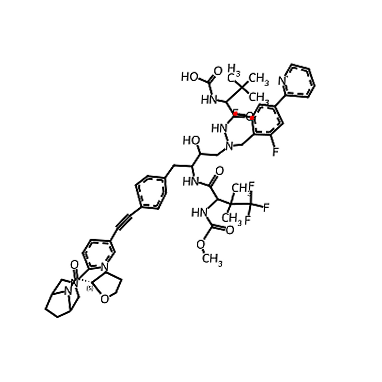 COC(=O)NC(C(=O)NC(Cc1ccc(C#Cc2ccc(N3CC4CCC(C3)N4C(=O)[C@@H]3CCCO3)nc2)cc1)C(O)CN(Cc1c(F)cc(-c2ccccn2)cc1F)NC(=O)C(NC(=O)O)C(C)(C)C)C(C)(C)C(F)(F)F